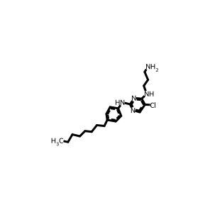 CCCCCCCCc1ccc(Nc2ncc(Cl)c(NCCCN)n2)cc1